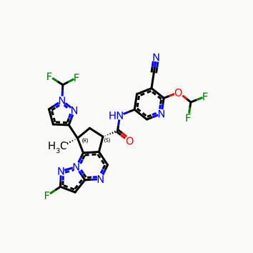 C[C@]1(c2ccn(C(F)F)n2)C[C@H](C(=O)Nc2cnc(OC(F)F)c(C#N)c2)c2cnc3cc(F)nn3c21